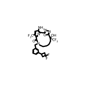 Nc1cc(C(F)(F)F)c2nc1-c1nnc(o1)[C@@](O)(C(F)(F)F)CCCCCN(Cc1cccc(C3CC(F)(F)C3)c1)C2=O